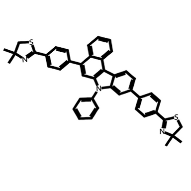 CC1(C)CSC(c2ccc(-c3ccc4c5c6ccccc6c(-c6ccc(C7=NC(C)(C)CS7)cc6)cc5n(-c5ccccc5)c4c3)cc2)=N1